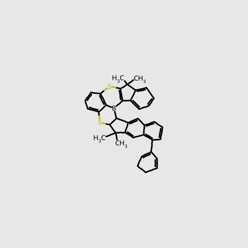 CC1(C)C2=C(B3c4c(cccc4SC4C3c3cc5cccc(C6=CCCC=C6)c5cc3C4(C)C)S2)c2ccccc21